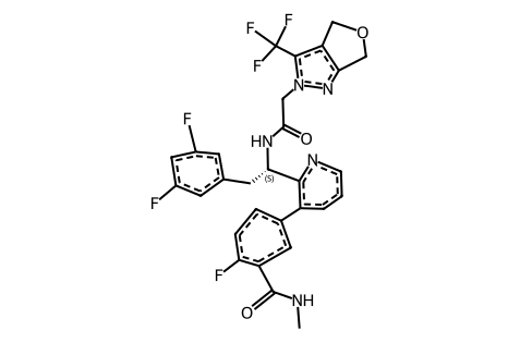 CNC(=O)c1cc(-c2cccnc2[C@H](Cc2cc(F)cc(F)c2)NC(=O)Cn2nc3c(c2C(F)(F)F)COC3)ccc1F